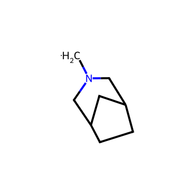 [CH2]N1CC2CCC(C2)C1